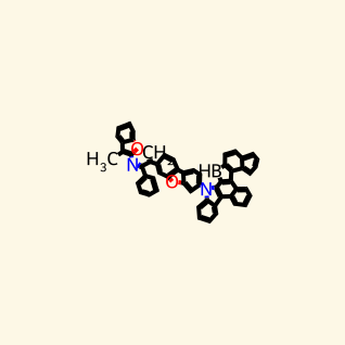 C=C(/C(=N\c1oc2ccccc2c1C)c1ccccc1)c1ccc2c(c1)oc1cc(-n3c4ccccc4c4c5ccccc5c5c(c43)Bc3ccc4ccccc4c3-5)ccc12